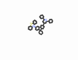 c1ccc(-c2cc(-c3ccc(C4(c5ccc(N6c7ccccc7Sc7ccccc76)cc5)CCCCC4)cc3)cc(-c3ccccc3)n2)cc1